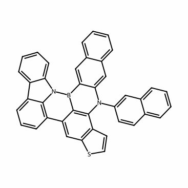 c1ccc2cc(N3c4cc5ccccc5cc4B4c5c(cc6sccc6c53)-c3cccc5c6ccccc6n4c35)ccc2c1